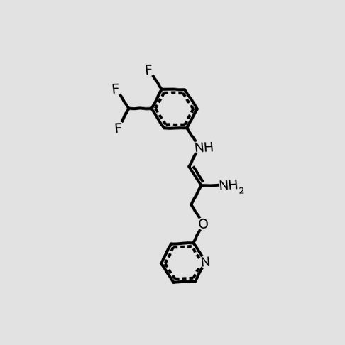 N/C(=C\Nc1ccc(F)c(C(F)F)c1)COc1ccccn1